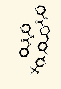 O=C(Nc1cccnc1)N1CCC(=Cc2cccc(Oc3ccc(C(F)(F)F)cn3)c2)CC1.O=C(Nc1cccnc1)Oc1ccccc1